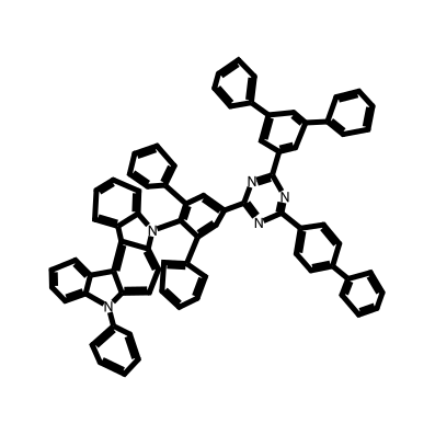 c1ccc(-c2ccc(-c3nc(-c4cc(-c5ccccc5)cc(-c5ccccc5)c4)nc(-c4cc(-c5ccccc5)c(-n5c6ccccc6c6c7c8ccccc8n(-c8ccccc8)c7ccc65)c(-c5ccccc5)c4)n3)cc2)cc1